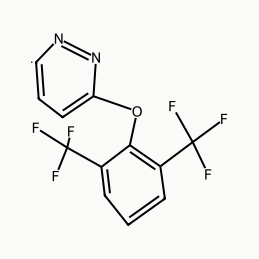 FC(F)(F)c1cccc(C(F)(F)F)c1Oc1cc[c]nn1